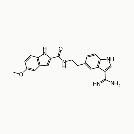 COc1ccc2[nH]c(C(=O)NCCc3ccc4[nH]cc(C(=N)N)c4c3)cc2c1